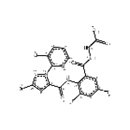 CC(=O)NNC(=O)c1cc(Cl)cc(I)c1NC(=O)c1cc(Br)nn1-c1ncccc1Cl